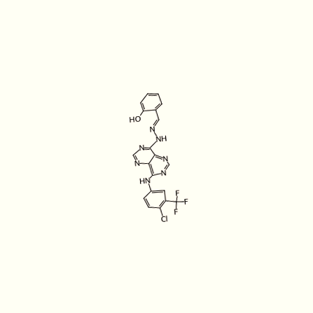 Oc1ccccc1C=NNc1ncnc2c(Nc3ccc(Cl)c(C(F)(F)F)c3)ncnc12